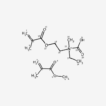 C=C(C)C(=O)OC.C=C(C)C(=O)OCC[N+](C)(CC)C(=O)O